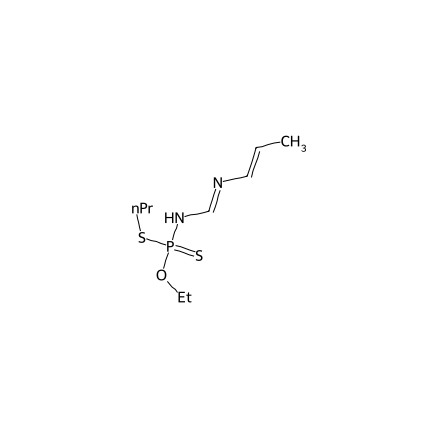 CC=CN=CNP(=S)(OCC)SCCC